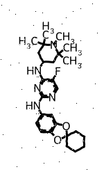 CN1C(C)(C)CC(Nc2nc(Nc3ccc4c(c3)OC3(CCCCC3)O4)ncc2F)CC1(C)C